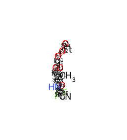 CCC1(COCCOc2ccc(C(=O)Oc3ccc4c(c3)C(C)c3cc(C(=O)Nc5cc(F)c(C#N)c(F)c5)ccc3-4)cc2)COC1